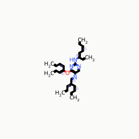 C=C/C=C\C=C(/C=C)Nc1ncc(/N=C/C(/C=C\C=C)=C/C=C)c(OC(/C=C\C=C)=C/C=C)n1